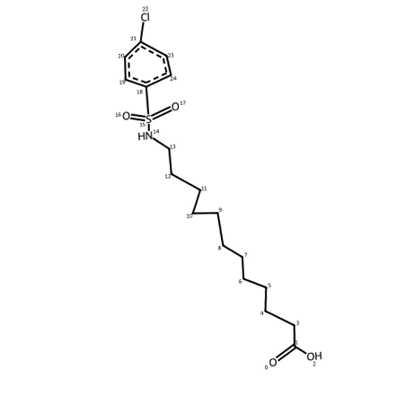 O=C(O)CCCCCCCCCCCNS(=O)(=O)c1ccc(Cl)cc1